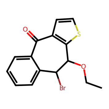 CCOC1c2sccc2C(=O)c2ccccc2C1Br